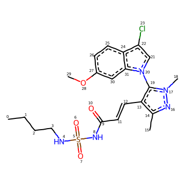 CCCCNS(=O)(=O)NC(=O)C=Cc1c(C)nn(C)c1-n1cc(Cl)c2ccc(OC)cc21